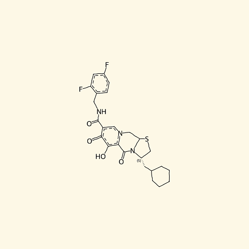 O=C(NCc1ccc(F)cc1F)c1cn2c(c(O)c1=O)C(=O)N1C(C2)SC[C@@H]1CC1CCCCC1